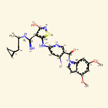 CCOc1cc(OCC)c2ccn(C(=O)c3cnc(Nc4snc(O)c4C(=N)NC(C)CC4CC4)cc3I)c2c1